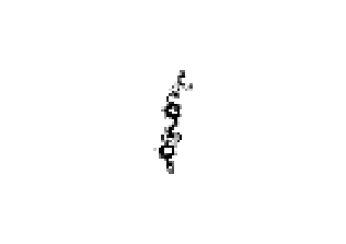 C=CC(=O)OCOc1ccc(CCC(=O)Oc2ccc(C#N)cc2)cc1